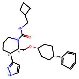 O=C(NCC1CCC1)N1CCC[C@H](c2cc[nH]n2)[C@@H]1CO[C@H]1CC[C@@H](c2ccccc2)CC1